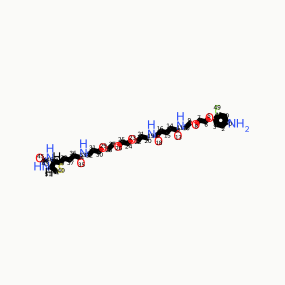 Nc1ccc(OCCOCCNC(=O)CCCC(=O)NCCCOCCOCCOCCCNC(=O)CCCC2SC[C@@H]3NC(=O)N[C@H]23)c(F)c1